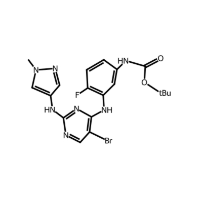 Cn1cc(Nc2ncc(Br)c(Nc3cc(NC(=O)OC(C)(C)C)ccc3F)n2)cn1